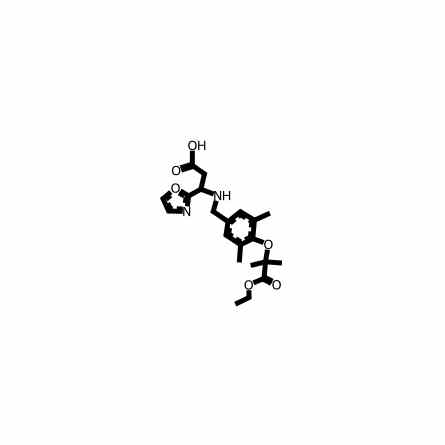 CCOC(=O)C(C)(C)Oc1c(C)cc(CNC(CC(=O)O)c2ncco2)cc1C